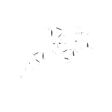 CCCCC(C)(C)c1ccc(CNC(c2cccc(N(CC(=O)O)C(=O)OC(C)(C)C)n2)S(=O)(=O)c2cccc(F)c2)cc1